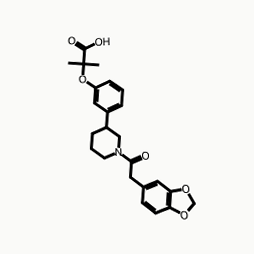 CC(C)(Oc1cccc(C2CCCN(C(=O)Cc3ccc4c(c3)OCO4)C2)c1)C(=O)O